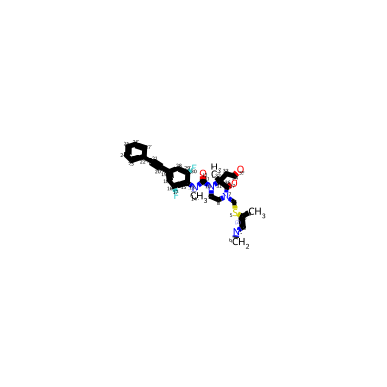 C=N/C=C(/C)SCN1CCN(C(=O)N(C)c2c(F)cc(C#Cc3ccccc3)cc2F)C(C)(CC=O)C1=O